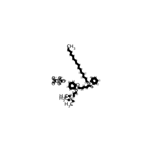 CCCCCCCCCCCCCCCCN1C(=CC=Cc2oc3ccccc3[n+]2CCC[N+](CC)(CC)CC)Sc2ccccc21.O=[N+]([O-])[O-].O=[N+]([O-])[O-]